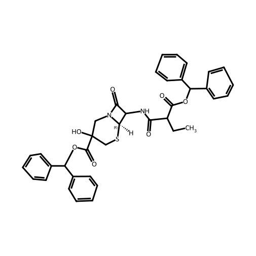 CCC(C(=O)NC1C(=O)N2CC(O)(C(=O)OC(c3ccccc3)c3ccccc3)CS[C@H]12)C(=O)OC(c1ccccc1)c1ccccc1